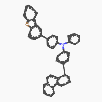 c1ccc(N(c2ccc(-c3ccc4sc5ccccc5c4c3)cc2)c2ccc(-c3cccc4c3ccc3ccccc34)cc2)cc1